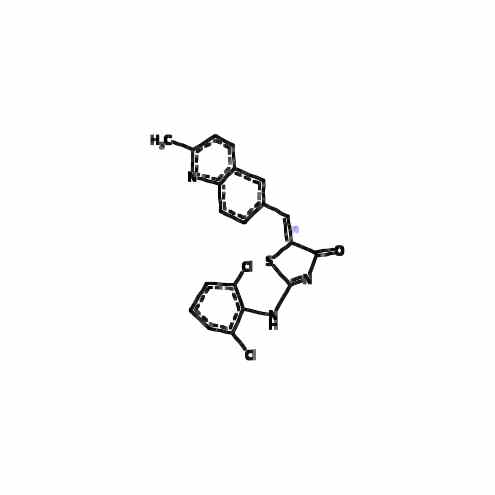 Cc1ccc2cc(/C=C3\SC(Nc4c(Cl)cccc4Cl)=NC3=O)ccc2n1